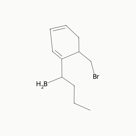 BC(CCC)C1=CC=CCC1CBr